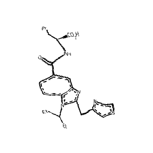 CCC(CC)n1c(Cc2cscn2)nc2cc(C(=O)N[C@@H](CC(C)C)C(=O)O)ccc21